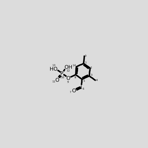 Cc1cc(C)c(I=O)c(OP(=O)(O)O)c1